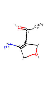 COC(=O)C1=C(N)COC1